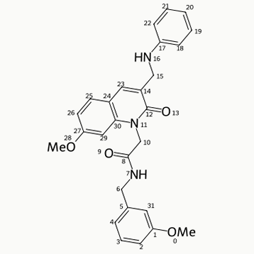 COc1cccc(CNC(=O)Cn2c(=O)c(CNc3ccccc3)cc3ccc(OC)cc32)c1